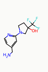 NCc1ccnc(N2CCC(O)(C(F)(F)F)C2)c1